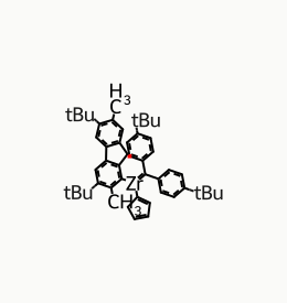 Cc1cc2c(cc1C(C)(C)C)-c1cc(C(C)(C)C)c(C)[c]([Zr]([C]3=CC=CC3)=[C](c3ccc(C(C)(C)C)cc3)c3ccc(C(C)(C)C)cc3)c1C2